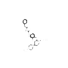 CN1CCN(C2CCN(C(=O)O)C(Oc3ccc(NC(=S)NC(=O)Cc4ccccc4)cc3F)C2)CC1